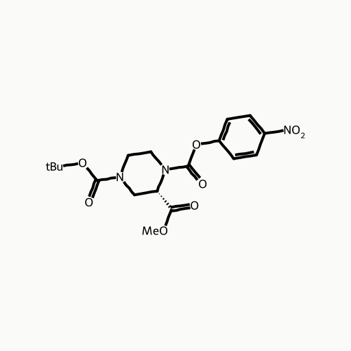 COC(=O)[C@@H]1CN(C(=O)OC(C)(C)C)CCN1C(=O)Oc1ccc([N+](=O)[O-])cc1